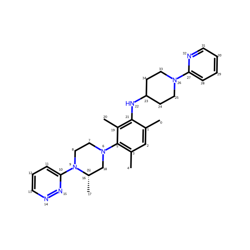 Cc1cc(C)c(N2CCN(c3cccnn3)[C@@H](C)C2)c(C)c1NC1CCN(c2ccccn2)CC1